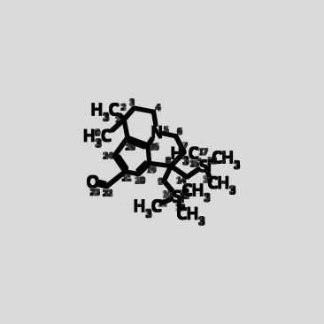 CC1(C)CCN2CCC(C[Si](C)(C)C)(C[Si](C)(C)C)c3cc(C=O)cc1c32